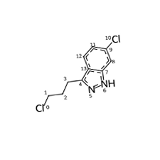 ClCCCc1n[nH]c2cc(Cl)ccc12